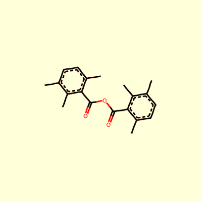 Cc1ccc(C)c(C(=O)OC(=O)c2c(C)ccc(C)c2C)c1C